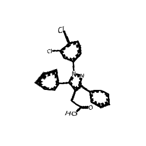 O=C(O)Cc1c(-c2ccccc2)nn(-c2ccc(Cl)c(Cl)c2)c1-c1ccccc1